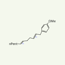 CCCCC/C=C/CC/C=C/Cc1ccc(OC)cc1